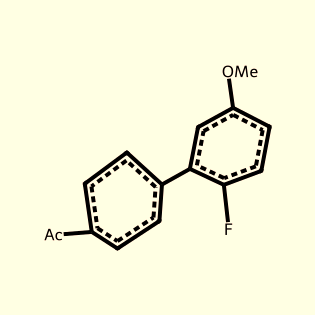 COc1ccc(F)c(-c2ccc(C(C)=O)cc2)c1